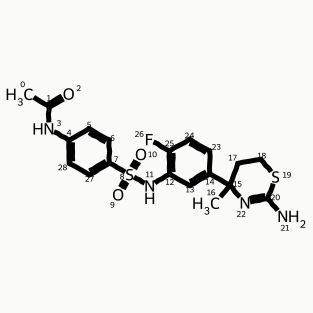 CC(=O)Nc1ccc(S(=O)(=O)Nc2cc(C3(C)CCSC(N)=N3)ccc2F)cc1